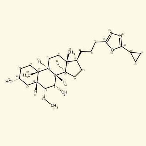 CC[C@H]1[C@@H](O)[C@@H]2[C@H](CC[C@]3(C)[C@@H](CCCc4nnc(C5CC5)o4)CC[C@@H]23)[C@@]2(C)CC[C@@H](O)C[C@@H]12